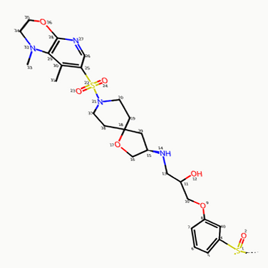 CNS(=O)(=O)c1cccc(OCC(O)CN[C@H]2COC3(CCN(S(=O)(=O)c4cnc5c(c4C)N(C)CCO5)CC3)C2)c1